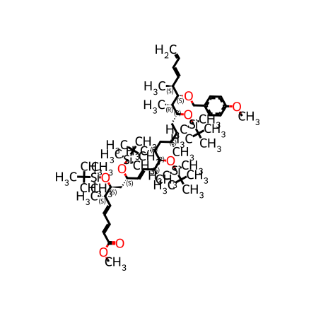 C=CC=C[C@H](C)[C@H](OCc1ccc(OC)cc1)[C@@H](C)[C@@H](CC[C@H](C)C[C@@H](C)[C@@H](O[Si](C)(C)C(C)(C)C)[C@@H](C)C=C[C@H](C[C@H](O[Si](C)(C)C(C)(C)C)[C@@H](C)C=CC=CC(=O)OC)O[Si](C)(C)C(C)(C)C)O[Si](C)(C)C(C)(C)C